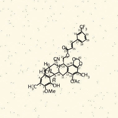 COc1c(C)cc2c(c1O)[C@@H]1C3Cc4c(OC(C)=O)c(C)c5c(c4[C@H](COC(=O)/C=C/c4cccc(C(F)(F)F)c4)N3[C@@H](C#N)[C@H](C2)N1C)OCO5